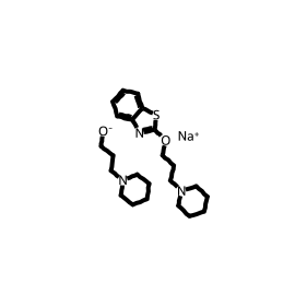 [Na+].[O-]CCCN1CCCCC1.c1ccc2sc(OCCCN3CCCCC3)nc2c1